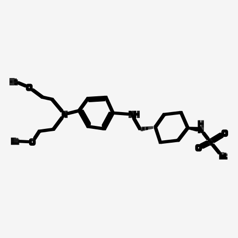 CCOCCN(CCOCC)c1ccc(NC[C@H]2CC[C@H](NS(=O)(=O)CC)CC2)cc1